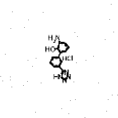 Cl.Nc1cccc(-c2cccc(-c3nnn[nH]3)c2)c1O